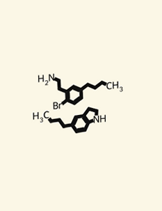 CCCCc1ccc(Br)c(CCN)c1.CCCCc1ccc2c(c1)CCN2